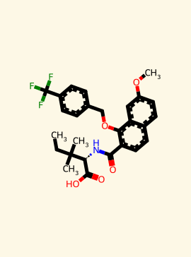 CCC(C)(C)[C@H](NC(=O)c1ccc2ccc(OC)cc2c1OCc1ccc(C(F)(F)F)cc1)C(=O)O